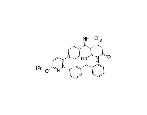 CC(C)Oc1ccc(N2CCC(C(=N)C3=C(NC(c4ccccc4)c4ccccc4)NC(=O)CC3C(F)(F)F)CC2)nn1